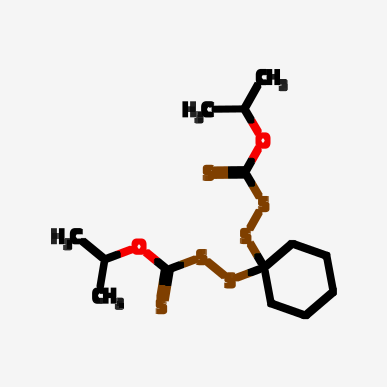 CC(C)OC(=S)SSC1(SSC(=S)OC(C)C)CCCCC1